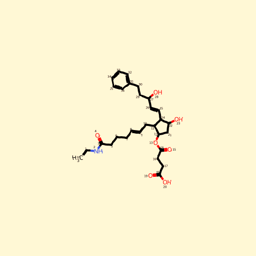 CCNC(=O)CCCC=CCC1C(OC(=O)CCC(=O)O)CC(O)C1C=CC(O)CCc1ccccc1